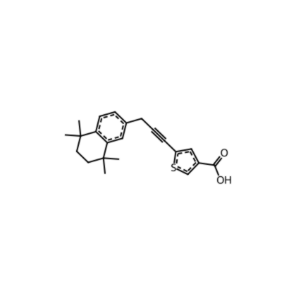 CC1(C)CCC(C)(C)c2cc(CC#Cc3cc(C(=O)O)cs3)ccc21